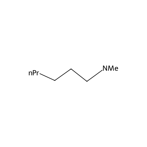 [CH2]NCCCCCC